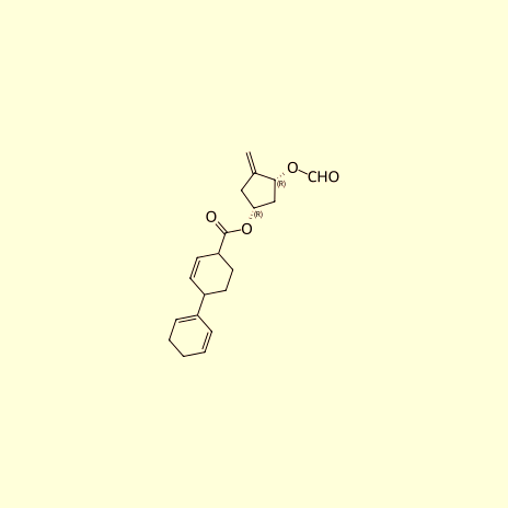 C=C1C[C@@H](OC(=O)C2C=CC(C3=CCCC=C3)CC2)C[C@H]1OC=O